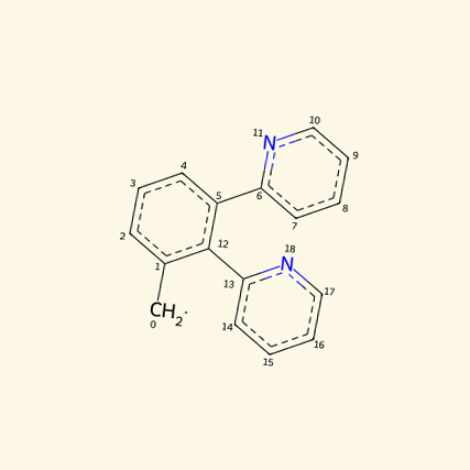 [CH2]c1cccc(-c2ccccn2)c1-c1ccccn1